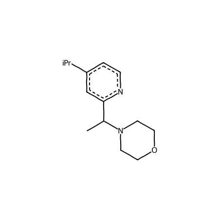 CC(C)c1ccnc(C(C)N2CCOCC2)c1